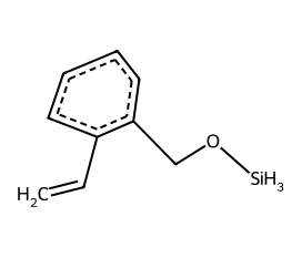 C=Cc1ccccc1CO[SiH3]